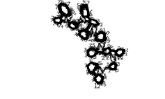 c1cc(-n2c3ccccc3c3ccccc32)cc(-n2c3ccccc3c3cc4c(cc32)c2ccccc2n4-c2cccc(-n3c4ccccc4c4c3ccc3c5ccccc5n(-c5cccc(-n6c7ccccc7c7ccccc76)c5)c34)c2)c1